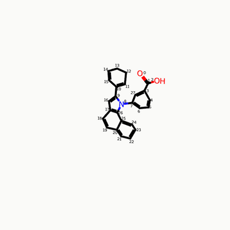 O=C(O)c1cccc(-n2c(C3=CCCC=C3)cc3ccc4ccccc4c32)c1